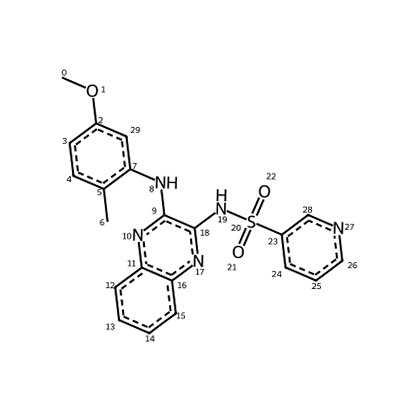 COc1ccc(C)c(Nc2nc3ccccc3nc2NS(=O)(=O)c2cccnc2)c1